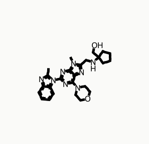 Cc1nc2ccccc2n1-c1nc(N2CCOCC2)c2nc(CNC3(CO)CCCC3)n(C)c2n1